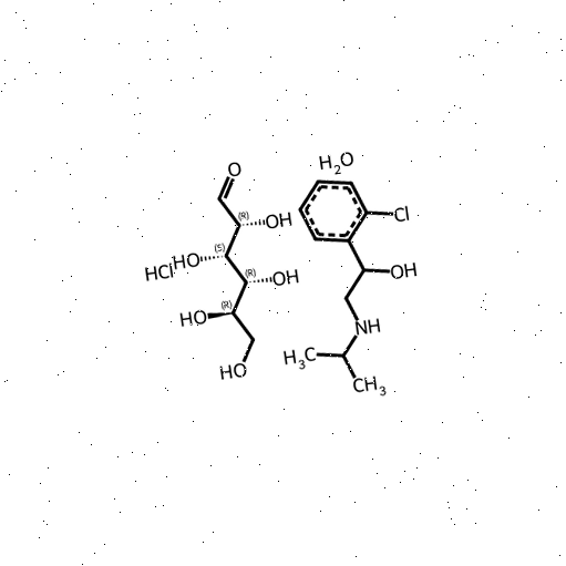 CC(C)NCC(O)c1ccccc1Cl.Cl.O.O=C[C@H](O)[C@@H](O)[C@H](O)[C@H](O)CO